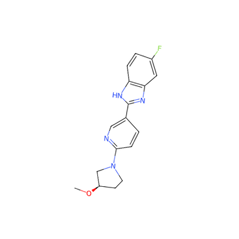 CO[C@@H]1CCN(c2ccc(-c3nc4cc(F)ccc4[nH]3)cn2)C1